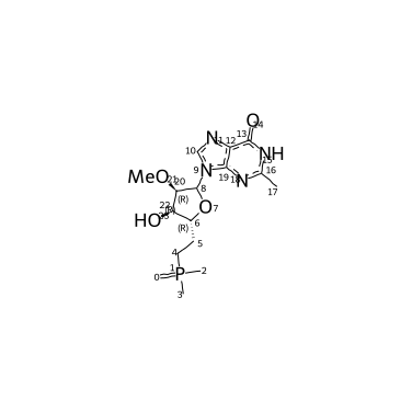 C=P(C)(C)CC[C@H]1OC(n2cnc3c(=O)[nH]c(C)nc32)[C@H](OC)[C@@H]1O